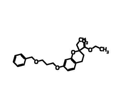 CCOC(=O)C1(CC)CCc2ccc(OCCCOCc3ccccc3)cc2O1